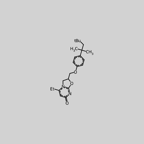 CCc1cc(=O)nc2n1CC(COc1ccc(C(C)(C)CC(C)(C)C)cc1)O2